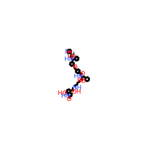 O=C(NC(c1ccccc1)c1cccc(OCc2ccc(C(=O)NC(CC3CCCCC3)C(=O)OCCCCNCC(O)c3ccc(O)c4[nH]c(=O)ccc34)cc2)c1)O[C@H]1CN2CCC1CC2